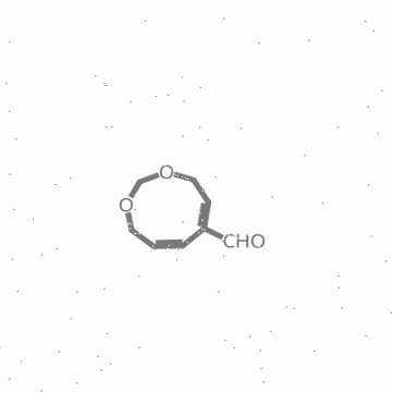 O=CC1=C/COCOC/C=C\1